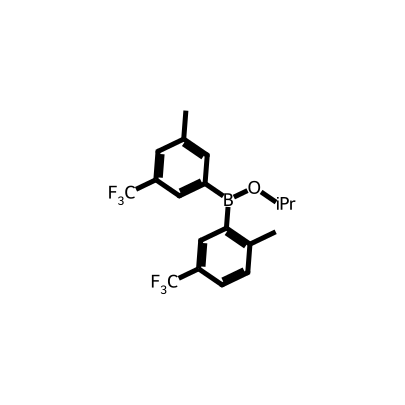 Cc1cc(B(OC(C)C)c2cc(C(F)(F)F)ccc2C)cc(C(F)(F)F)c1